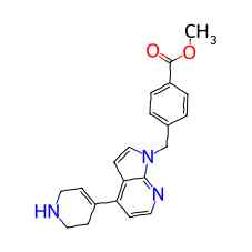 COC(=O)c1ccc(Cn2ccc3c(C4=CCNCC4)ccnc32)cc1